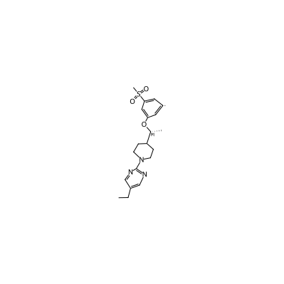 CCc1cnc(N2CCC([C@@H](C)Oc3c[c]cc(S(C)(=O)=O)c3)CC2)nc1